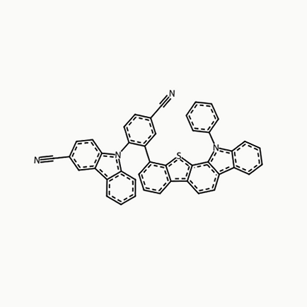 N#Cc1ccc(-n2c3ccccc3c3cc(C#N)ccc32)c(-c2cccc3c2sc2c3ccc3c4ccccc4n(-c4ccccc4)c32)c1